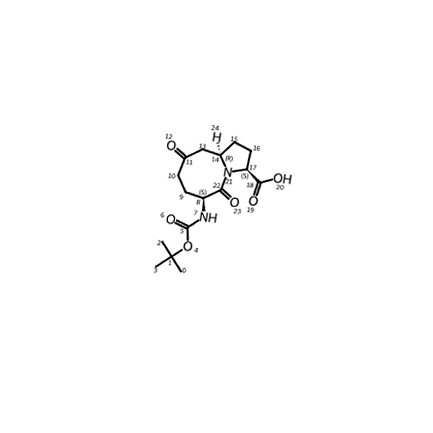 CC(C)(C)OC(=O)N[C@H]1CCC(=O)C[C@H]2CC[C@@H](C(=O)O)N2C1=O